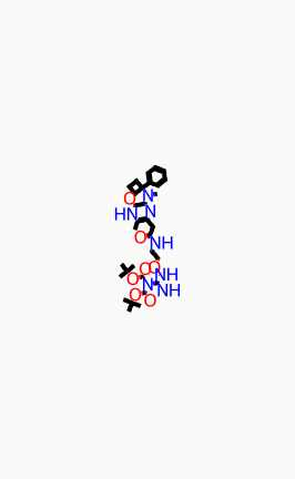 Cc1[nH]c(=O)c(N(C)C2(c3ccccc3)CCC2)nc1CC(=O)NCCONC(=N)N(C(=O)OC(C)(C)C)C(=O)OC(C)(C)C